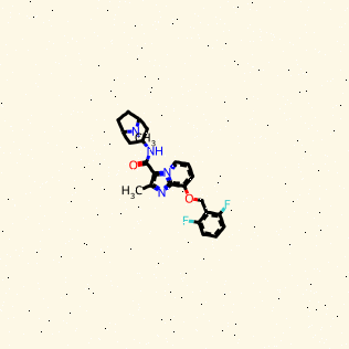 Cc1nc2c(OCc3c(F)cccc3F)cccn2c1C(=O)NC1CC2CCC(C1)N2C